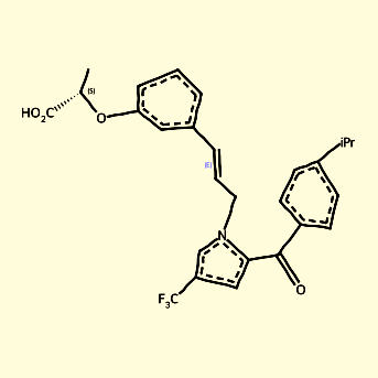 CC(C)c1ccc(C(=O)c2cc(C(F)(F)F)cn2C/C=C/c2cccc(O[C@@H](C)C(=O)O)c2)cc1